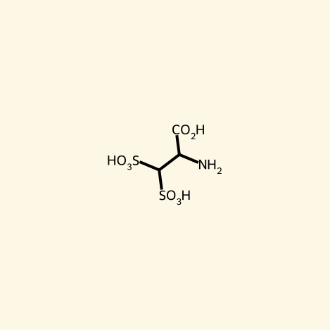 NC(C(=O)O)C(S(=O)(=O)O)S(=O)(=O)O